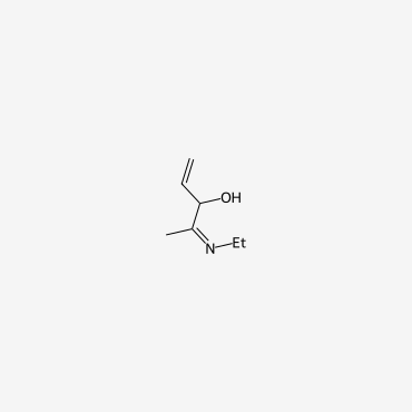 C=CC(O)C(C)=NCC